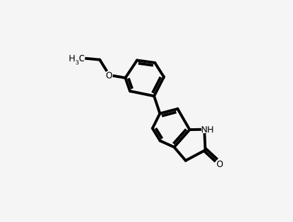 CCOc1cccc(-c2ccc3c(c2)NC(=O)C3)c1